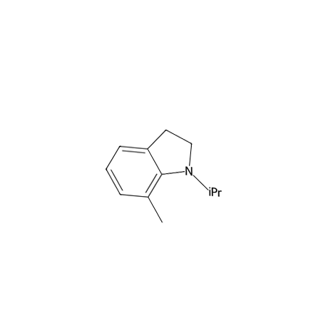 Cc1cccc2c1N(C(C)C)CC2